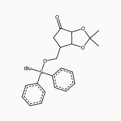 CC1(C)OC2C(=O)CC(CO[Si](c3ccccc3)(c3ccccc3)C(C)(C)C)C2O1